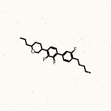 CCCCCc1ccc(-c2ccc(C3CCC(CCC)OC3)c(F)c2F)cc1F